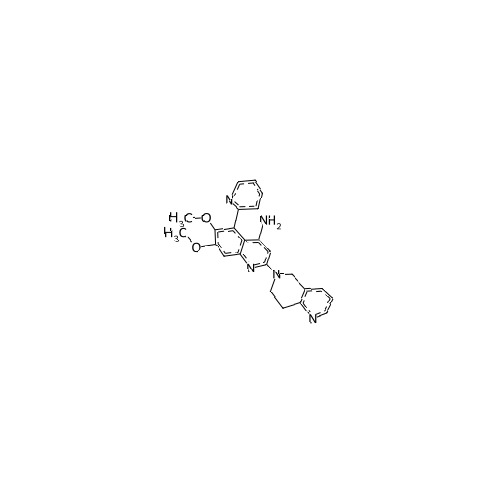 COc1cc2nc(N3CCc4ncccc4C3)cc(N)c2c(-c2ccccn2)c1OC